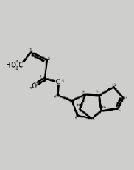 O=C(O)/C=C\C(=O)OCC1CC2CC1C1CC=CC21